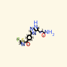 NC(=O)/C=C/c1c[nH]c2ncc(-c3ccc(C(=O)c4ncc(F)s4)cc3)nc12